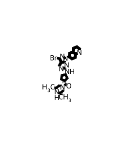 C[C@H]1CN(C(=O)[C@@H]2CC[C@@H](Nc3ncc4c(Br)nn(-c5ccc6ncccc6c5)c4n3)C2)C[C@H](C)N1